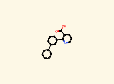 O=C(O)c1cccnc1-c1cccc(-c2ccccc2)c1